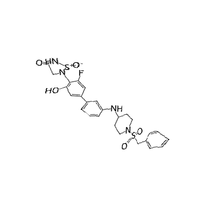 O=C1CN(c2c(O)cc(-c3cccc(NC4CCN(S(=O)(=O)Cc5ccccc5)CC4)c3)cc2F)[S+]([O-])N1